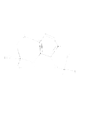 CC1(C)C[C]c2cccc(OC(F)(F)F)c2O1